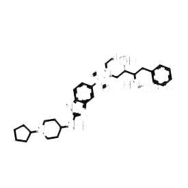 CC(C)CN(C[C@@H](O)C(Cc1ccccc1)NC(=O)O)S(=O)(=O)c1ccc2nc(NC3CCN(C4CCCC4)CC3)sc2c1